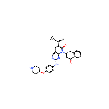 C=C(c1cc2cnc(Nc3ccc(OC4CCNCC4)cc3)nc2n(C2CC(=O)c3ccccc3C2)c1=O)C1CC1